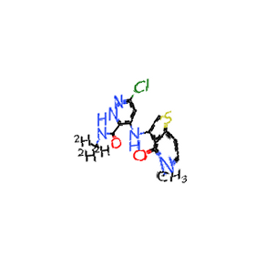 [2H]C([2H])([2H])NC(=O)c1nnc(Cl)cc1Nc1csc2ccn(C)c(=O)c12